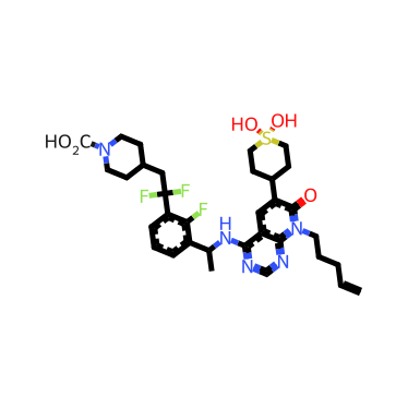 C=CCCCn1c(=O)c(C2CCS(O)(O)CC2)cc2c(NC(C)c3cccc(C(F)(F)CC4CCN(C(=O)O)CC4)c3F)ncnc21